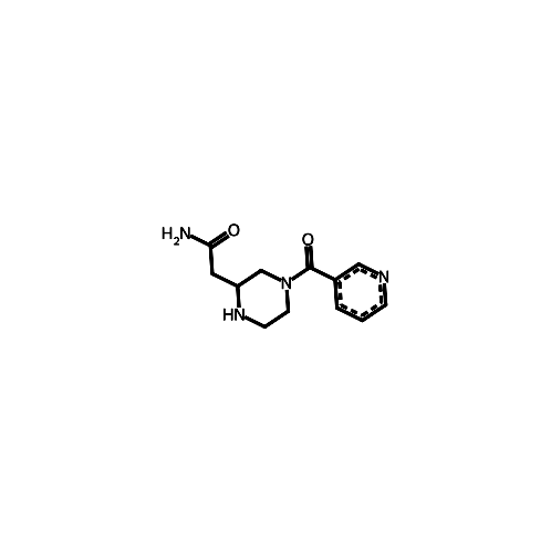 NC(=O)CC1CN(C(=O)c2cccnc2)CCN1